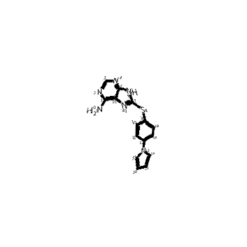 Nc1ncnc2[nH]c(Sc3ccc(-n4cccc4)cc3)nc12